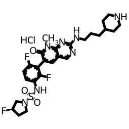 Cl.Cn1c(=O)c(-c2c(F)ccc(NS(=O)(=O)N3CC[C@@H](F)C3)c2F)cc2cnc(NCCCC3CCNCC3)nc21